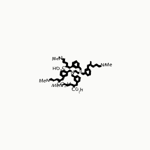 CNCCCC(C)Cc1cccc(CN(CCN(Cc2cccc(CC(CCCNC)C(=O)O)c2)Cc2cccc(CC(CCCNC)C(=O)O)c2)Cc2cccc(CC(CCCNC)C(=O)O)c2)c1